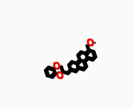 [O]Cc1cccc2c1CCc1c-2ccc2c1CCC(CC1COc3ccccc3O1)=C2